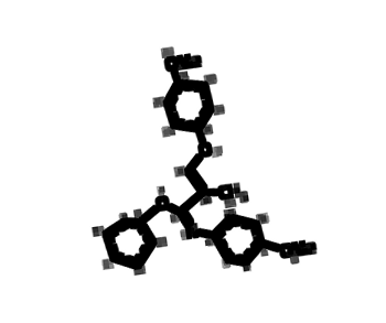 COc1ccc(/N=C(Oc2ccccc2)\C(C)=C\Oc2ccc(OC)cc2)cc1